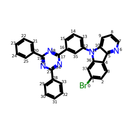 Brc1ccc2c3ncccc3n(-c3cccc(-c4nc(-c5ccccc5)nc(-c5ccccc5)n4)c3)c2c1